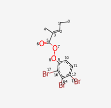 CCC=C(C)C(=O)OOc1ccc(Br)c(Br)c1Br